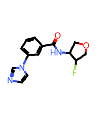 O=C(NC1COCC1F)c1cccc(-n2ccnc2)c1